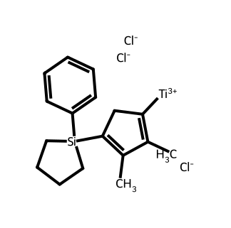 CC1=[C]([Ti+3])CC([Si]2(c3ccccc3)CCCC2)=C1C.[Cl-].[Cl-].[Cl-]